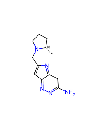 C[C@H]1CCCN1CC1=CC2=NN=C(N)CC2=N1